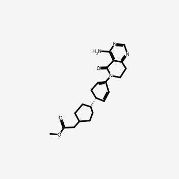 COC(=O)CC1CCC([C@H]2C=CC(N3CCc4ncnc(N)c4C3=O)=CC2)CC1